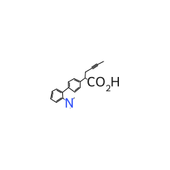 CC#CCC(C(=O)O)c1ccc(-c2ccccc2N(C)C)cc1